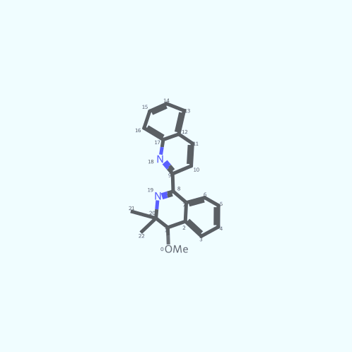 COC1c2ccccc2C(c2ccc3ccccc3n2)=NC1(C)C